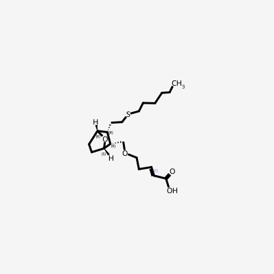 CCCCCCSCC[C@@H]1[C@H](COCC/C=C/C(=O)O)[C@@H]2CC[C@H]1O2